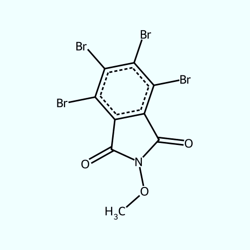 CON1C(=O)c2c(Br)c(Br)c(Br)c(Br)c2C1=O